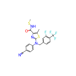 CSNC(=O)c1nc(N(Cc2ccc(C(F)(F)F)c(F)c2)c2ccc(C#N)cc2)sc1C